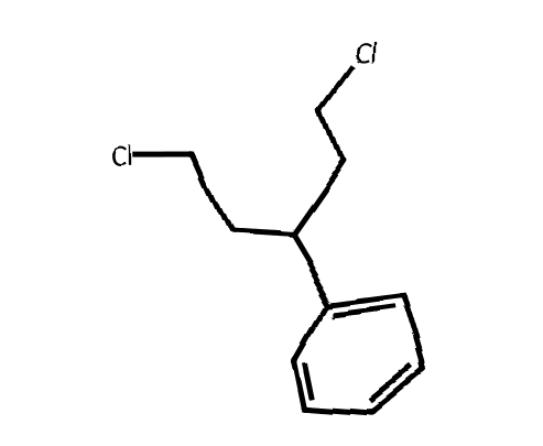 ClCCC(CCCl)c1ccccc1